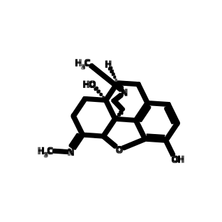 CN=C1CC[C@@]2(O)[C@H]3Cc4ccc(O)c5c4[C@@]2(CCN3C)C1O5